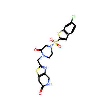 O=C1Cc2sc(CN3CCN(S(=O)(=O)c4cc5ccc(Cl)cc5s4)CC3=O)nc2CN1